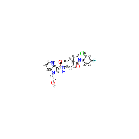 COCCn1cc(C(=O)NC2CCC3(CC2)CCN(c2ccc(F)cc2Cl)C3=O)c2ncccc21